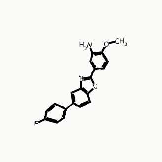 COc1ccc(-c2nc3cc(-c4ccc(F)cc4)ccc3o2)cc1N